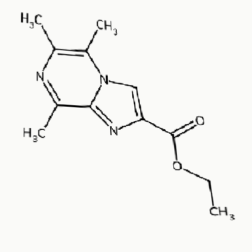 CCOC(=O)c1cn2c(C)c(C)nc(C)c2n1